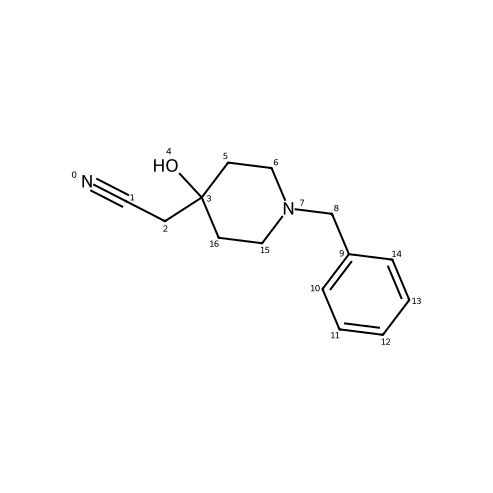 N#CCC1(O)CCN(Cc2ccccc2)CC1